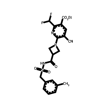 CCOC(=O)c1cc(C#N)c(N2CC(C(=O)NS(=O)(=O)Cc3cccc(C)c3)C2)nc1C(F)F